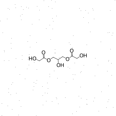 O=C(CO)OCC(O)COC(=O)CO